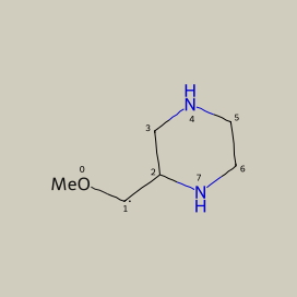 CO[CH]C1CNCCN1